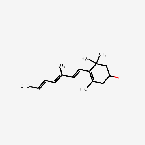 CC1=C(/C=C/C(C)=C/C=C/C=O)C(C)(C)CC(O)C1